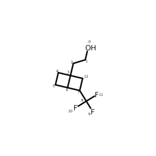 OCCC12CCC1C(C(F)(F)F)C2